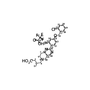 CC(CC(=O)O)CN1CCc2nc(-c3ccc(OCc4ccccc4Cl)cc3F)ncc2C1.O=C(O)C(F)(F)F